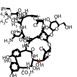 CC(C)C[C@H](C(=O)N[C@H]1C(=O)N[C@@H](CC(N)=O)C(=O)N[C@H]2C(=O)N[C@H]3C(=O)N[C@H](C(=O)N[C@H](C(=O)O)c4cc(O)cc(O)c4-c4cc3ccc4O)[C@H](O)c3ccc(c(Cl)c3)Oc3cc2cc(c3O[C@@H]2O[C@H](CO)[C@@H](O)[C@H](O)[C@H]2O)Oc2ccc(cc2Cl)[C@H]1O)[N+](C)(C)C